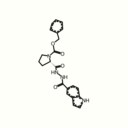 O=C(NNC(=O)[C@@H]1CCCN1C(=O)OCc1ccccc1)c1ccc2[nH]ccc2c1